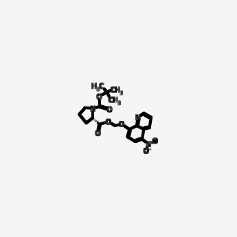 CC(C)(C)OC(=O)N1CCC[C@H]1C(=O)OCOc1ccc([N+](=O)[O-])c2cccnc12